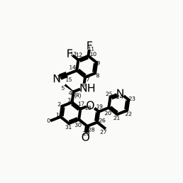 Cc1cc([C@@H](C)Nc2ccc(F)c(F)c2C#N)c2oc(-c3cccnc3)c(C)c(=O)c2c1